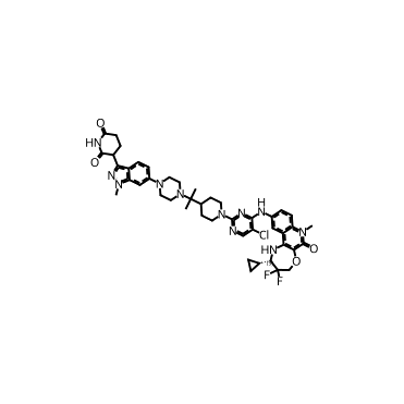 Cn1nc(C2CCC(=O)NC2=O)c2ccc(N3CCN(C(C)(C)C4CCN(c5ncc(Cl)c(Nc6ccc7c(c6)c6c(c(=O)n7C)OCC(F)(F)[C@H](C7CC7)N6)n5)CC4)CC3)cc21